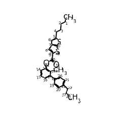 CCCCCc1cc2cc(C(=O)Oc3cccc(-c4ccc(CCC)cc4)c3C)sc2s1